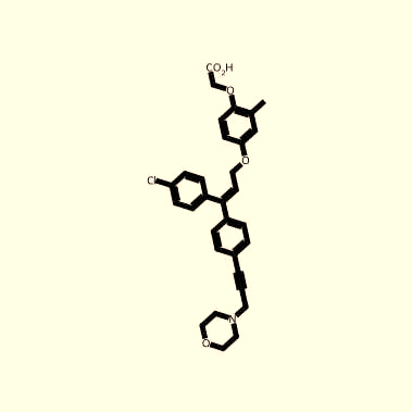 Cc1cc(OC/C=C(\c2ccc(Cl)cc2)c2ccc(C#CCN3CCOCC3)cc2)ccc1OCC(=O)O